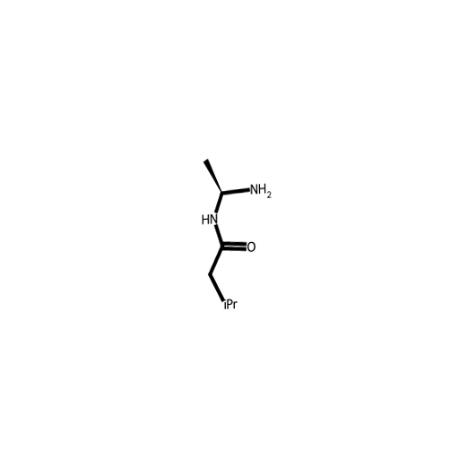 CC(C)CC(=O)N[C@@H](C)N